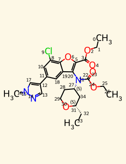 CCOC(=O)c1oc2c(Cl)cc(-c3cnn(C)c3)cc2c1N(C(=O)OCC)[C@H]1CCO[C@@H](CC)C1